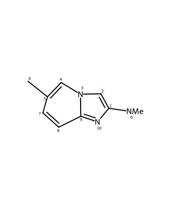 CNc1cn2cc(C)ccc2n1